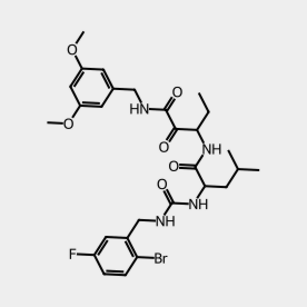 CCC(NC(=O)C(CC(C)C)NC(=O)NCc1cc(F)ccc1Br)C(=O)C(=O)NCc1cc(OC)cc(OC)c1